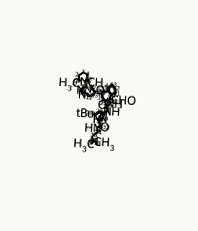 C[C@@H]1CCC[C@H](C)N1c1nnc2ccc(O[C@@H]3C=C[C@](C=O)(NC(=O)Nc4cc(C(C)(C)C)nc(C(=O)NCCN(C)C)n4)c4ccccc43)cn12